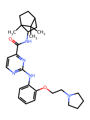 CC1(C)C2CCC1(C)C(NC(=O)c1ccnc(Nc3ccccc3OCCN3CCCC3)n1)C2